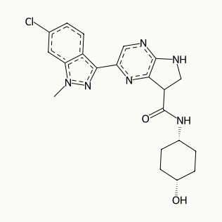 Cn1nc(-c2cnc3c(n2)C(C(=O)N[C@H]2CC[C@@H](O)CC2)CN3)c2ccc(Cl)cc21